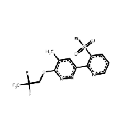 CCS(=O)(=O)c1cccnc1-c1cc(C)c(OCC(F)(F)C(F)(F)F)nn1